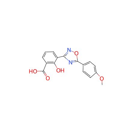 COc1ccc(-c2nc(-c3cccc(C(=O)O)c3O)no2)cc1